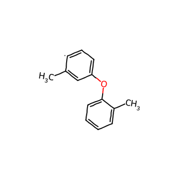 Cc1[c]ccc(Oc2ccccc2C)c1